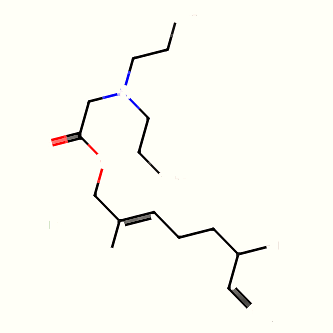 Br.C=CC(C)CCC=C(C)COC(=O)CN(CCCCCCCCCCCC)CCCCCCCCCCCC